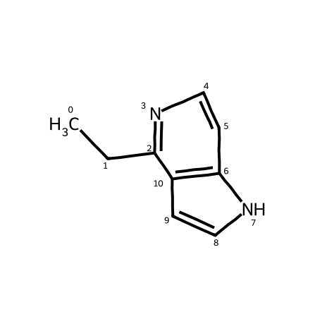 CCc1nccc2[nH]ccc12